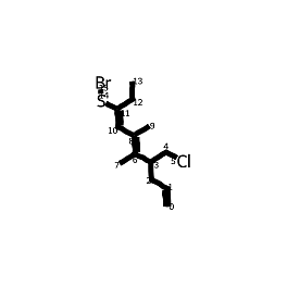 C=CCC(CCl)/C(C)=C(C)/C=C(\CC)SBr